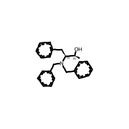 C[C@H](O)[C@H](Cc1ccccc1)N(Cc1ccccc1)Cc1ccccc1